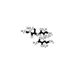 C=CC(C(=C)C(=O)O)C(=O)O.C=CCC(C(=C)C(=O)O)C(=O)O.C=COC(=O)C(=C)CC(=O)O